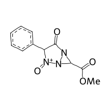 COC(=O)C1N2C(=O)C(c3ccccc3)[N+](=O)N12